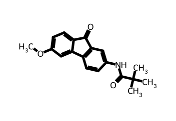 COc1ccc2c(c1)-c1ccc(NC(=O)C(C)(C)C)cc1C2=O